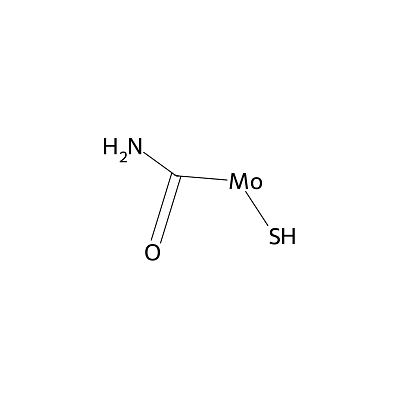 N[C](=O)[Mo][SH]